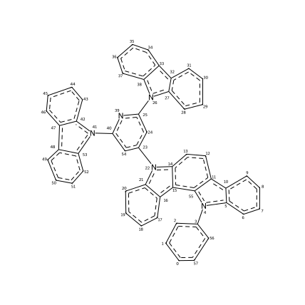 c1ccc(-n2c3ccccc3c3ccc4c(c5ccccc5n4-c4cc(-n5c6ccccc6c6ccccc65)nc(-n5c6ccccc6c6ccccc65)c4)c32)cc1